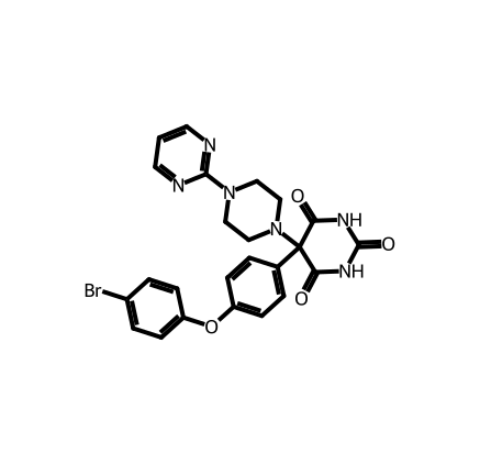 O=C1NC(=O)C(c2ccc(Oc3ccc(Br)cc3)cc2)(N2CCN(c3ncccn3)CC2)C(=O)N1